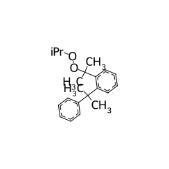 CC(C)OOC(C)(C)c1ccccc1C(C)(C)c1ccccc1